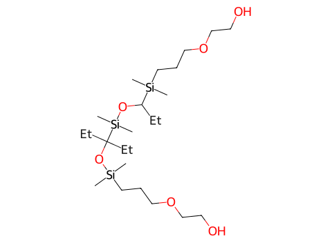 CCC(O[Si](C)(C)C(CC)(CC)O[Si](C)(C)CCCOCCO)[Si](C)(C)CCCOCCO